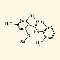 CCCCOc1cc(C)nc(C)c1C(=O)Nc1c(C)cccc1CC